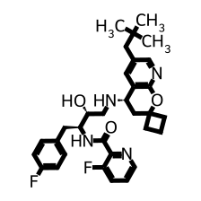 CC(C)(C)Cc1cnc2c(c1)[C@@H](NC[C@@H](O)[C@H](Cc1ccc(F)cc1)NC(=O)c1ncccc1F)CC1(CCC1)O2